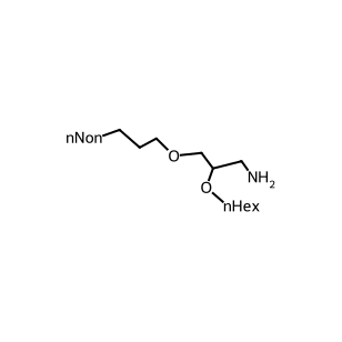 CCCCCCCCCCCCOCC(CN)OCCCCCC